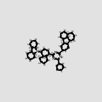 c1ccc(-c2nc(-c3ccc4c(c3)-c3cccc5cccc-4c35)nc(-c3ccc(-n4c5ccccc5c5ccccc54)c4ccccc34)n2)cc1